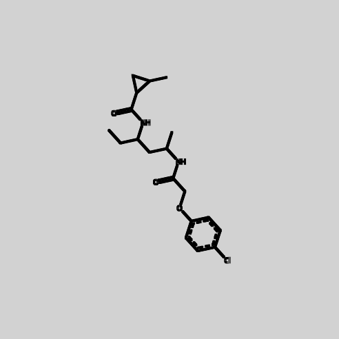 CCC(CC(C)NC(=O)COc1ccc(Cl)cc1)NC(=O)C1CC1C